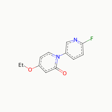 CCOc1ccn(-c2ccc(F)nc2)c(=O)c1